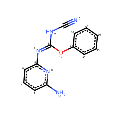 N#CNC(=Nc1cccc(N)n1)Oc1ccccc1